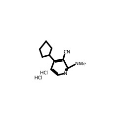 CNc1nccc(C2CCCC2)c1C#N.Cl.Cl